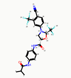 CC(C)C(=O)Nc1ccc(NC(=O)[C@@H]2CN(c3ccc(C#N)c(C(F)(F)F)c3)[C@@H](C(F)(F)F)O2)cc1